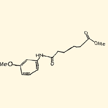 COC(=O)CCCCC(=O)Nc1cccc(OC)c1